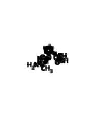 CN(CC(=O)Oc1ccccc1COP(=O)(O)O)C(=N)N